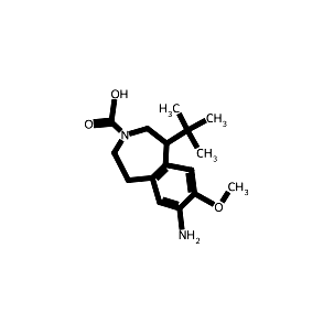 COc1cc2c(cc1N)CCN(C(=O)O)CC2C(C)(C)C